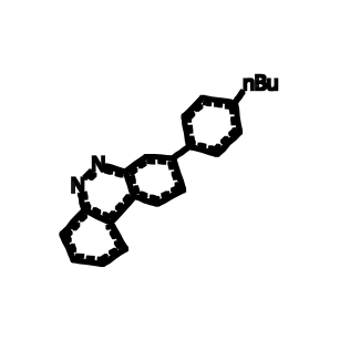 CCCCc1ccc(-c2ccc3c(c2)nnc2ccccc23)cc1